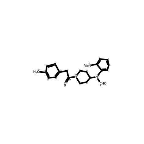 CNc1ccccc1N(C=O)C1CCN(C(=O)Cc2ccc(C)cc2)CC1